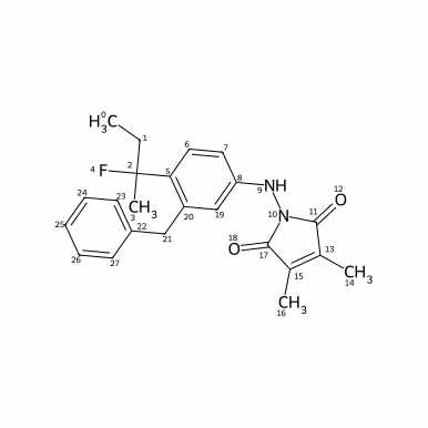 CCC(C)(F)c1ccc(NN2C(=O)C(C)=C(C)C2=O)cc1Cc1ccccc1